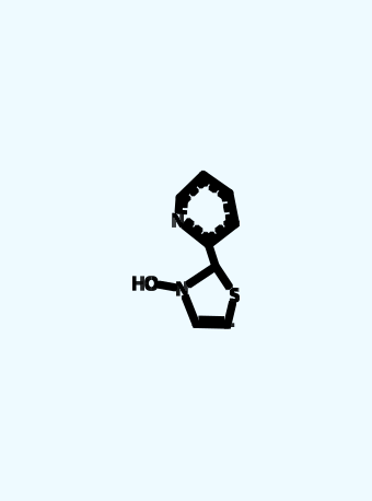 ON1C=[C]SC1c1ccccn1